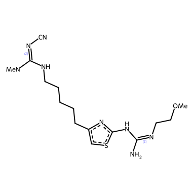 CN/C(=N/C#N)NCCCCCc1csc(N/C(N)=N\CCOC)n1